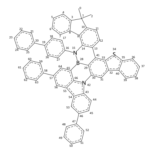 CC1(C)c2ccccc2-c2c1ccc1c2N(c2ccc(-c3ccccc3)cc2)B2c3c(cc4c(sc5ccccc54)c3-1)-n1c3ccc(-c4ccccc4)cc3c3cc(-c4ccccc4)cc2c31